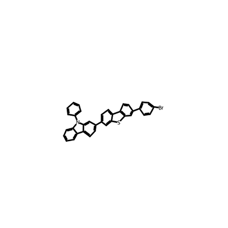 Brc1ccc(-c2ccc3c(c2)sc2cc(-c4ccc5c6ccccc6n(-c6ccccc6)c5c4)ccc23)cc1